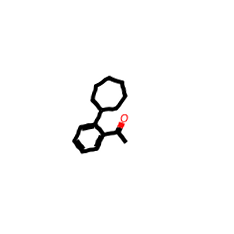 CC(=O)c1ccccc1C1CCCCCC1